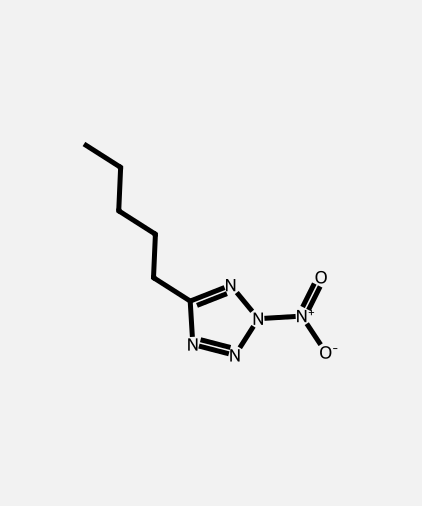 CCCCCc1nnn([N+](=O)[O-])n1